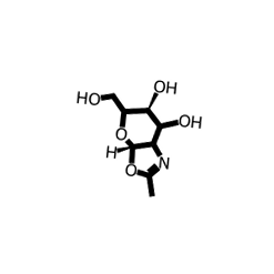 CC1=NC2C(O)[C@H](O)C(CO)O[C@H]2O1